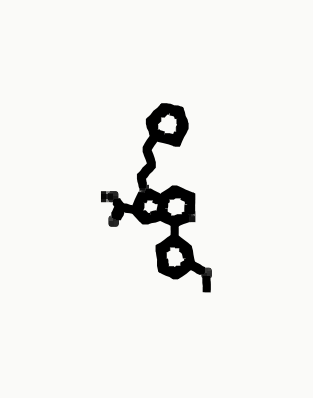 COc1cccc(-c2nccc3c2cc(C(=O)O)n3CCCc2ccccc2)c1